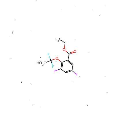 O=C(OCC(F)(F)F)c1cc(I)cc(I)c1OC(F)(F)C(=O)O